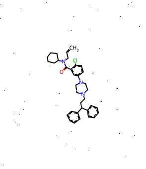 C=CCN(C(=O)c1cc(N2CCN(CCC(c3ccccc3)c3ccccc3)CC2)ccc1Cl)C1CCCCC1